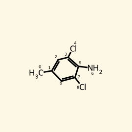 Cc1cc(Cl)c(N)c(Cl)c1